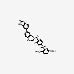 COc1ccc(OC)c(S(=O)(=O)c2ccc(C(=O)N3CCOc4ccc(-c5ccc6nc(C)[nH]c6c5)cc4C3)c(C)c2)c1